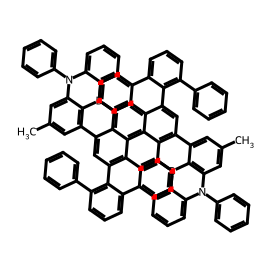 Cc1cc2c3c(c1)N(c1ccccc1)c1ccccc1B3c1cc3c(-c4c(-c5ccccc5)cccc4-c4ccccc4)cc4c5c(cc6c(-c7c(-c8ccccc8)cccc7-c7ccccc7)cc-2c1c6c35)B1c2ccccc2N(c2ccccc2)c2cc(C)cc-4c21